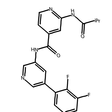 CC(C)C(=O)Nc1cc(C(=O)Nc2cncc(-c3cccc(F)c3F)c2)ccn1